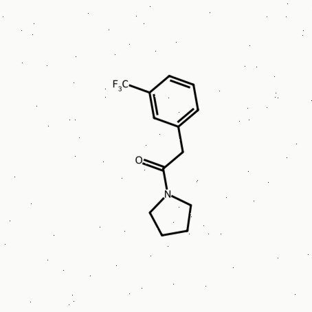 O=C(Cc1cccc(C(F)(F)F)c1)N1CCCC1